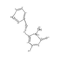 Cc1cc(C=Cc2ccccc2)n(O)c(=O)c1